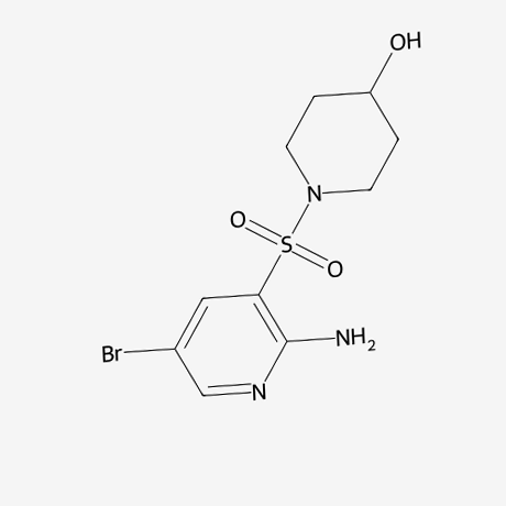 Nc1ncc(Br)cc1S(=O)(=O)N1CCC(O)CC1